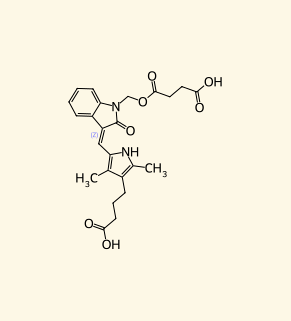 Cc1[nH]c(/C=C2\C(=O)N(COC(=O)CCC(=O)O)c3ccccc32)c(C)c1CCCC(=O)O